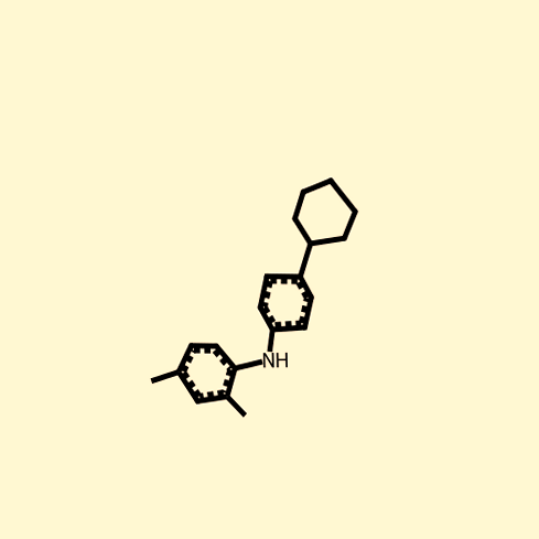 Cc1ccc(Nc2ccc(C3CCCCC3)cc2)c(C)c1